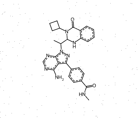 CNC(=O)c1ccc(-c2nn(C(C)C3Nc4ccccc4C(=O)N3C3CCC3)c3ncnc(N)c23)cc1